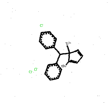 CC(C)(C)C1=CC=C[C]1([Ti+3])C(c1ccccc1)c1ccccc1.[Cl-].[Cl-].[Cl-]